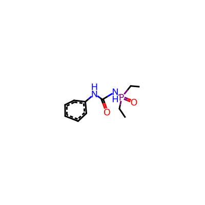 CCP(=O)(CC)NC(=O)Nc1ccccc1